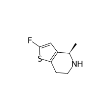 C[C@H]1NCCc2sc(F)cc21